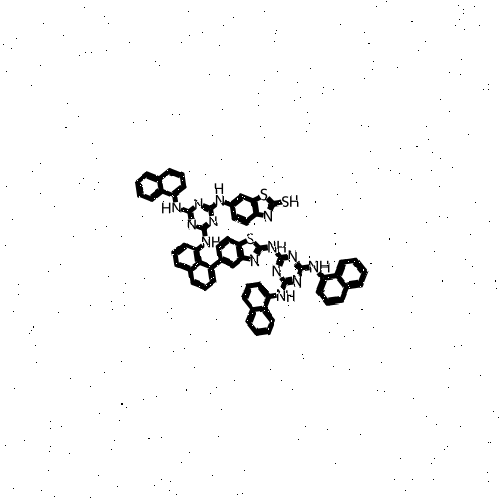 Sc1nc2ccc(Nc3nc(Nc4cccc5ccccc45)nc(Nc4cccc5cccc(-c6ccc7sc(Nc8nc(Nc9cccc%10ccccc9%10)nc(Nc9cccc%10ccccc9%10)n8)nc7c6)c45)n3)cc2s1